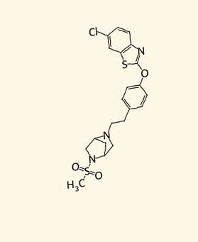 CS(=O)(=O)N1CC2CC1CN2CCc1ccc(Oc2nc3ccc(Cl)cc3s2)cc1